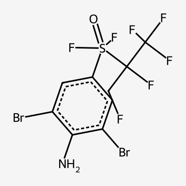 Nc1c(Br)cc(S(=O)(F)(F)C(F)(CF)C(F)(F)F)cc1Br